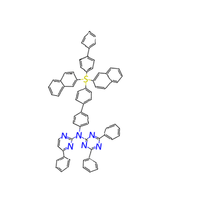 c1ccc(-c2ccc(S(c3ccc(-c4ccc(N(c5nccc(-c6ccccc6)n5)c5nc(-c6ccccc6)nc(-c6ccccc6)n5)cc4)cc3)(c3ccc4ccccc4c3)c3ccc4ccccc4c3)cc2)cc1